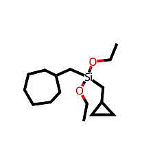 CCO[Si](CC1CCCCCC1)(CC1CC1)OCC